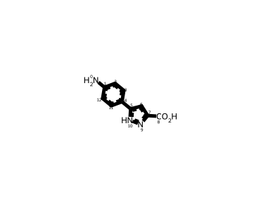 Nc1ccc(-c2cc(C(=O)O)n[nH]2)cc1